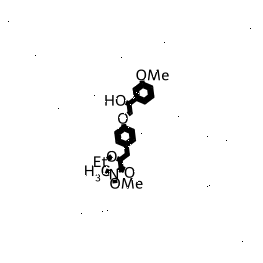 CCOC(Cc1ccc(OCC(O)c2cccc(OC)c2)cc1)C(=O)N(C)OC